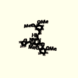 COc1ccc(CNc2nc(Oc3c(OC)cccc3OC)cc3nc(-c4ccco4)nn23)cc1OC